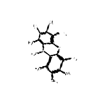 CB1c2c(C)c(C)c(C)c(C)c2Oc2c(C)c(C)c(C)c(C)c21